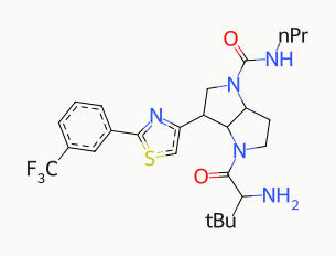 CCCNC(=O)N1CC(c2csc(-c3cccc(C(F)(F)F)c3)n2)C2C1CCN2C(=O)C(N)C(C)(C)C